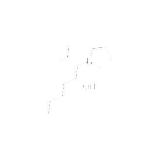 CCCC[C@@H](O)[C@H](C(C)C)N1CCCC1